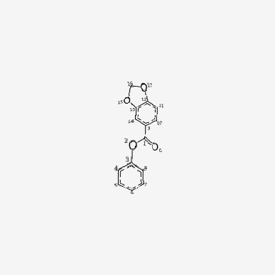 O=C(Oc1ccccc1)c1ccc2c(c1)OCO2